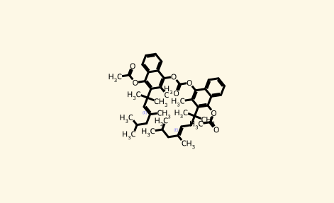 CC(=O)Oc1c(C(C)(C)/C=C(\C)CC(C)C)c(C)c(OC(=O)Oc2c(C)c(C(C)(C)C/C=C(\C)CC(C)C)c(OC(C)=O)c3ccccc23)c2ccccc12